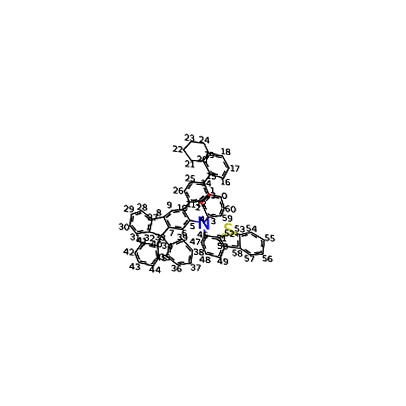 c1ccc(N(c2cc3c(cc2-c2ccc(-c4cccc5c4CCCC5)cc2)-c2ccccc2C3(c2ccccc2)c2ccccc2)c2cccc3c2sc2ccccc23)cc1